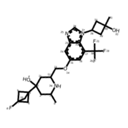 CC1CC(O)(C23CC(F)(C2)C3)CC(COc2cc(C(F)(F)F)c3c(c2)ncn3C2CC(C)(O)C2)N1